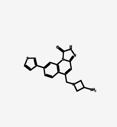 NC1CN(Cc2cc3n[nH]c(=O)n3c3cc(-c4ccsc4)ccc23)C1